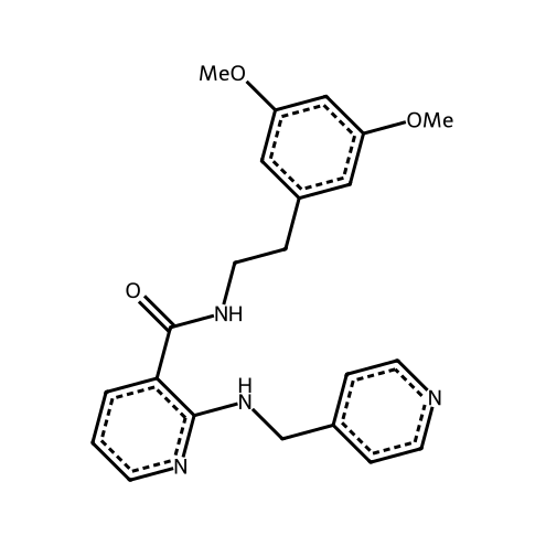 COc1cc(CCNC(=O)c2cccnc2NCc2ccncc2)cc(OC)c1